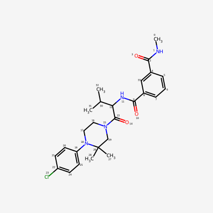 CNC(=O)c1cccc(C(=O)NC(C(=O)N2CCN(c3ccc(Cl)cc3)C(C)(C)C2)C(C)C)c1